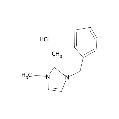 CC1N(C)C=CN1Cc1ccccc1.Cl